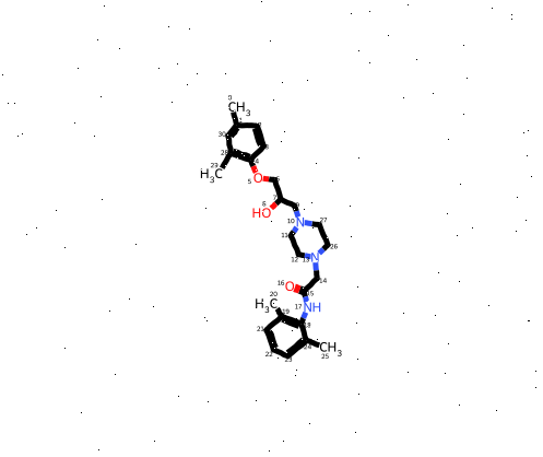 Cc1ccc(OCC(O)CN2CCN(CC(=O)Nc3c(C)cccc3C)CC2)c(C)c1